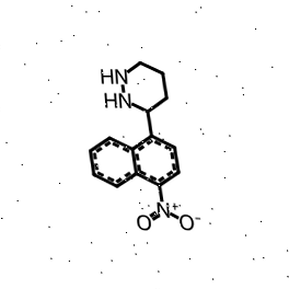 O=[N+]([O-])c1ccc(C2CCCNN2)c2ccccc12